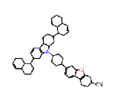 N#CC1CCC2=C(C1)OC1CC(C3CCC(N4C5=C(C=CC(C6CCCC7C=CCCC76)C5)C5CCC(C6CC=CC7CCCCC76)CC54)CC3)=CC=C21